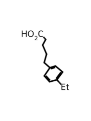 CCc1ccc(CCCCC(=O)O)cc1